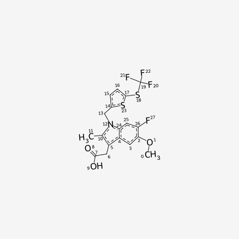 COc1cc2c(CC(=O)O)c(C)n(Cc3ccc(SC(F)(F)F)s3)c2cc1F